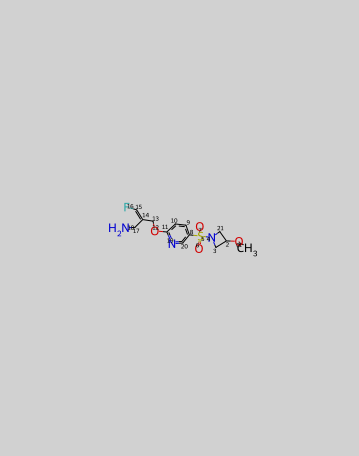 COC1CN(S(=O)(=O)c2ccc(OC/C(=C/F)CN)nc2)C1